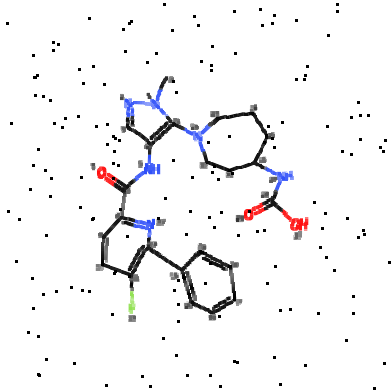 Cn1ncc(NC(=O)c2ccc(F)c(-c3ccccc3)n2)c1N1CCCC(NC(=O)O)CC1